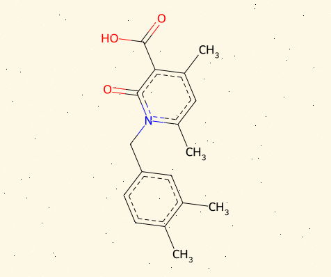 Cc1ccc(Cn2c(C)cc(C)c(C(=O)O)c2=O)cc1C